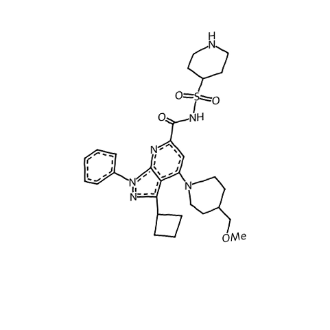 COCC1CCN(c2cc(C(=O)NS(=O)(=O)C3CCNCC3)nc3c2c(C2CCC2)nn3-c2ccccc2)CC1